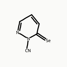 N#Cn1ncccc1=[Se]